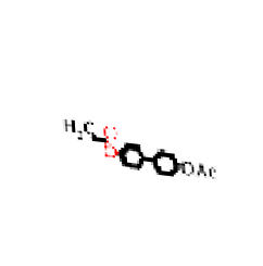 C=CC(=O)OC1CCC(C2CCC(OC(C)=O)CC2)CC1